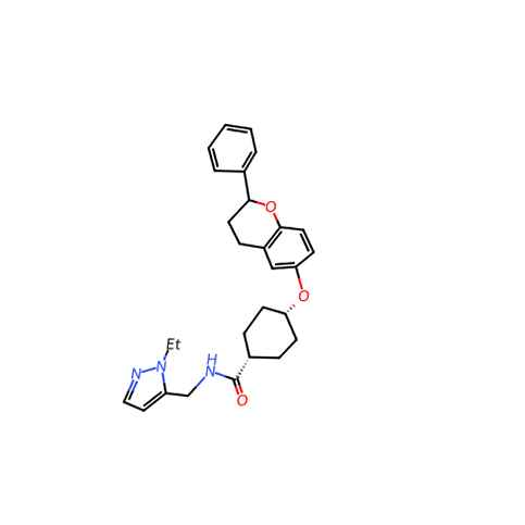 CCn1nccc1CNC(=O)[C@H]1CC[C@@H](Oc2ccc3c(c2)CCC(c2ccccc2)O3)CC1